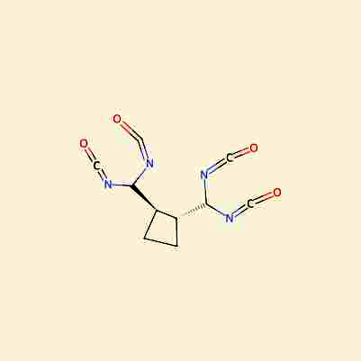 O=C=NC(N=C=O)[C@@H]1CC[C@H]1C(N=C=O)N=C=O